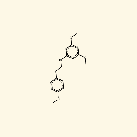 COc1ccc(CCNc2cc(OC)nc(OC)n2)cc1